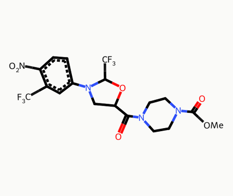 COC(=O)N1CCN(C(=O)C2CN(c3ccc([N+](=O)[O-])c(C(F)(F)F)c3)C(C(F)(F)F)O2)CC1